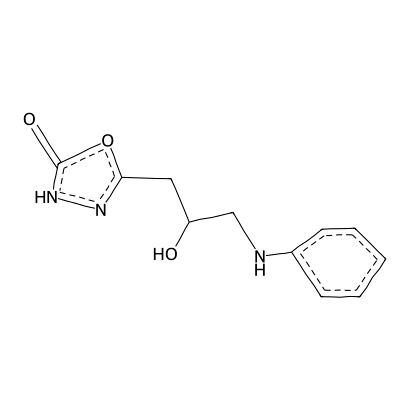 O=c1[nH]nc(CC(O)CNc2ccccc2)o1